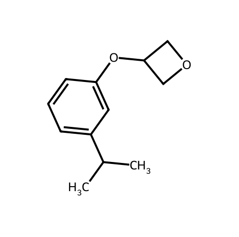 CC(C)c1cccc(OC2COC2)c1